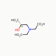 O=C(O)CN(CC(=O)O)C[C@H](O)C(=O)O